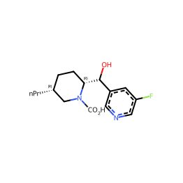 CCC[C@@H]1CC[C@H](C(O)c2cncc(F)c2)N(C(=O)O)C1